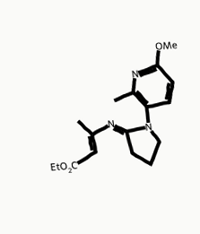 CCOC(=O)C=C(C)N=C1CCCN1c1ccc(OC)nc1C